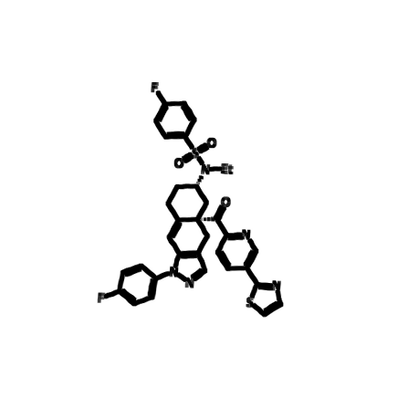 CCN([C@H]1CCC2=Cc3c(cnn3-c3ccc(F)cc3)C[C@]2(C(=O)c2ccc(-c3nccs3)cn2)C1)S(=O)(=O)c1ccc(F)cc1